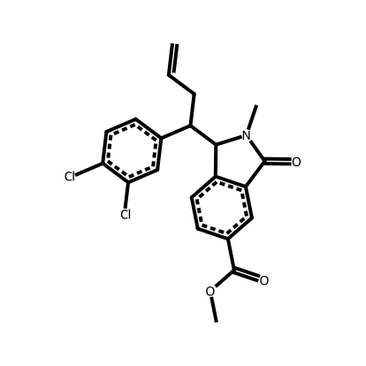 C=CCC(c1ccc(Cl)c(Cl)c1)C1c2ccc(C(=O)OC)cc2C(=O)N1C